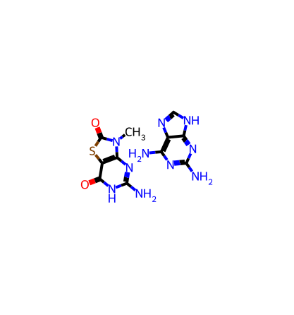 Cn1c(=O)sc2c(=O)[nH]c(N)nc21.Nc1nc(N)c2nc[nH]c2n1